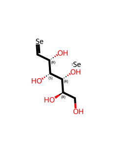 OC[C@@H](O)[C@@H](O)[C@H](O)[C@@H](O)C=[Se].[Se]